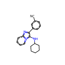 N#Cc1cccc(-c2nc3ccccn3c2NC2CCCCC2)c1